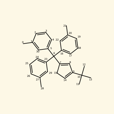 Cc1cccc(C(C2=CC(C(C)(C)C)=CC2)(c2cccc(C)c2)c2cccc(C)c2)c1